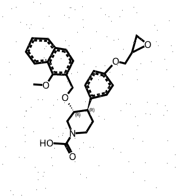 COc1c(CO[C@H]2CN(C(=O)O)CC[C@@H]2c2ccc(OCC3CO3)cc2)ccc2ccccc12